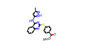 COC(=O)c1ccc(Sc2nc(Nc3cc(C)n[nH]3)c3ccccc3n2)cc1